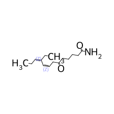 CC/C=C(\C=C/CC(=O)CCCCC(N)=O)CC